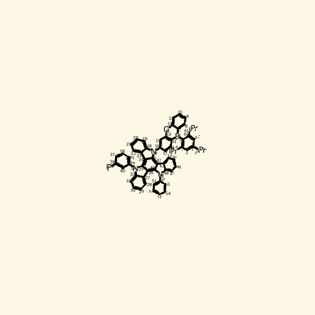 CC(C)c1cc(C(C)C)c(B2c3ccccc3Oc3cc(-n4c5ccccc5c5c6c(c7ccccc7n6-c6cccc(F)c6)c6c(c7ccccc7n6-c6ccccc6)c54)ccc32)c(C(C)C)c1